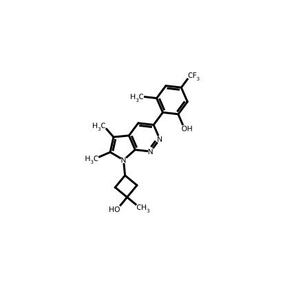 Cc1cc(C(F)(F)F)cc(O)c1-c1cc2c(C)c(C)n(C3CC(C)(O)C3)c2nn1